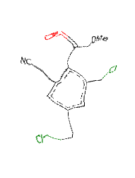 COC(=O)c1c(Cl)cc(CCl)cc1C#N